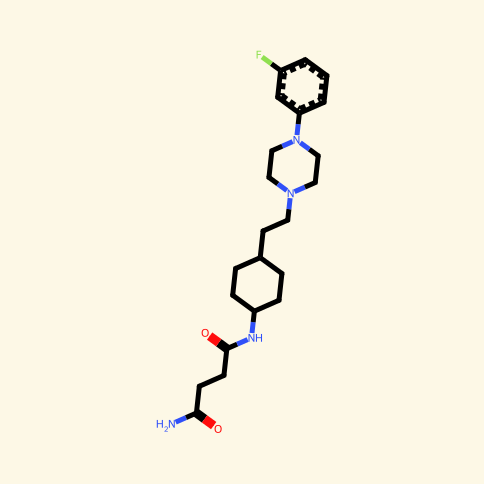 NC(=O)CCC(=O)NC1CCC(CCN2CCN(c3cccc(F)c3)CC2)CC1